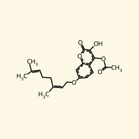 CC(=O)Oc1c(O)c(=O)oc2cc(OCC=C(C)CCC=C(C)C)ccc12